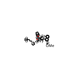 CCc1cccc2cc(OCOC)cc(-c3ncc4c(N5CC6CCC(C5)N6C(=O)OC(C)(C)C)nc(OC[C@@H]5CCCN5CCCC5OCCO5)nc4c3F)c12